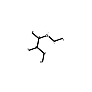 CCSC(C)C(C)CC